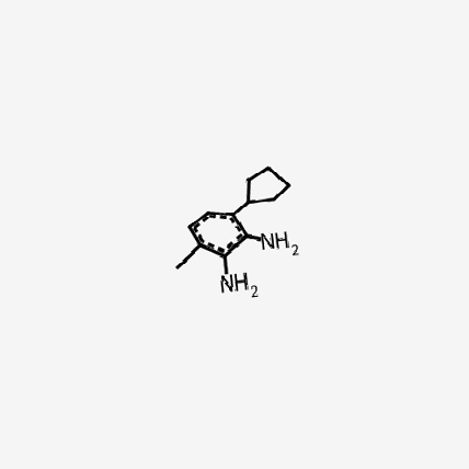 Cc1ccc(C2CCCC2)c(N)c1N